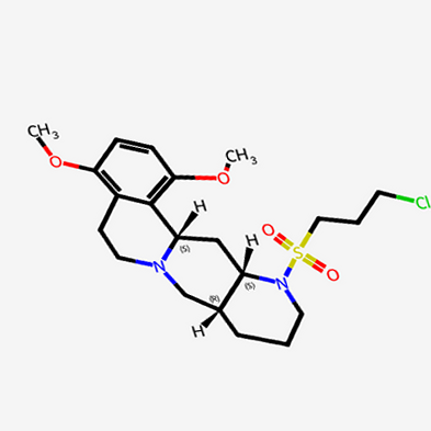 COc1ccc(OC)c2c1CCN1C[C@H]3CCCN(S(=O)(=O)CCCCl)[C@H]3C[C@@H]21